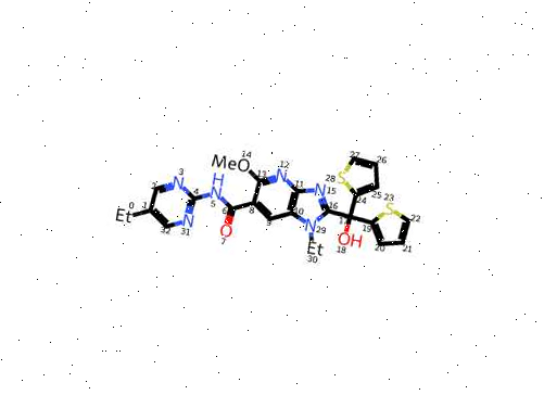 CCc1cnc(NC(=O)c2cc3c(nc2OC)nc(C(O)(c2cccs2)c2cccs2)n3CC)nc1